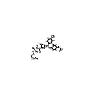 COCCCS(=O)(=O)NC(=O)c1nc(N(Cc2ccc(OC(F)F)cn2)c2ccc(C#N)cc2)sc1C